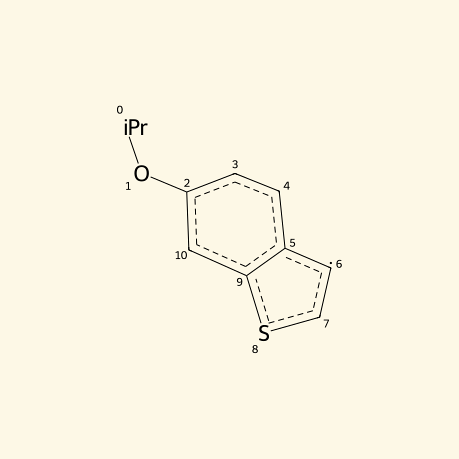 CC(C)Oc1ccc2[c]csc2c1